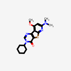 COc1cc(N(C)C)nc2sc3c(=O)n(C4CCCCC4)cnc3c12